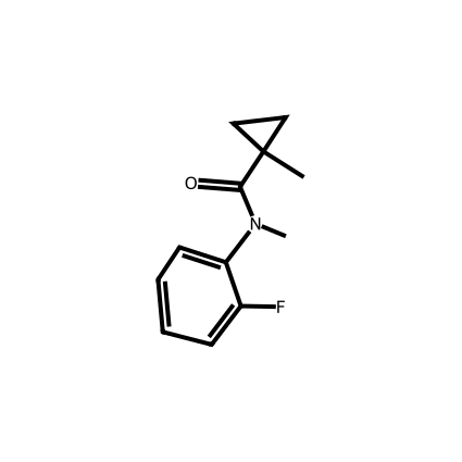 CN(C(=O)C1(C)CC1)c1ccccc1F